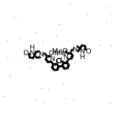 COc1nc(-c2cccc(-c3cccc(-c4ccc(CN5CC6(CCC(=O)N6)C5)c(OC)n4)c3Cl)c2Cl)ccc1CN1CCC2(CCC(=O)N2)CC1